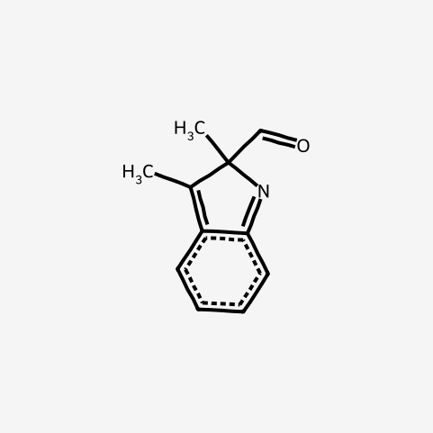 CC1=c2ccccc2=NC1(C)C=O